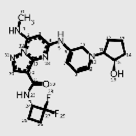 CNc1cc(NC2=CC=CN(C3CCC[C@H]3O)C2)nc2c(C(=O)N[C@H]3CCC3(F)F)cnn12